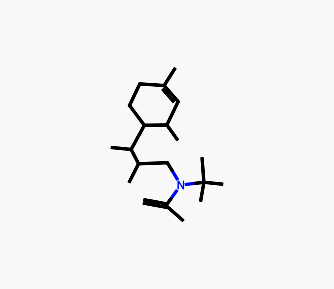 C=C(C)N(CC(C)C(C)C1CCC(C)=CC1C)C(C)(C)C